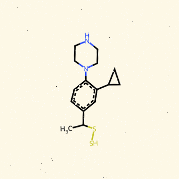 CC(SS)c1ccc(N2CCNCC2)c(C2CC2)c1